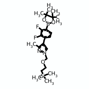 Cc1nn(COCC[Si](C)(C)C)cc1-c1ccc(B2OC(C)(C)C(C)(C)O2)c(F)c1F